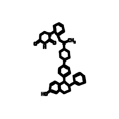 CN(Cc1ccccc1N1CCC(=O)NC1=O)C1CCN(c2ccc(C3c4ccc(O)cc4CCC3c3ccccc3)cc2)CC1